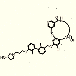 Cc1c(COc2cc3c(cc2Cl)CN[C@H](CO)CCCCNC(=O)c2cncc(c2)CO3)cccc1-c1cccc(OCCCN2CC[C@@H](O)C2)c1C